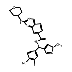 Cn1cc([C@H](NC(=O)c2ccc3cnc(NC4CCOCC4)nc3c2)c2ccc(C#N)c(F)c2)cn1